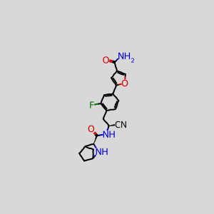 N#C[C@H](Cc1ccc(-c2cc(C(N)=O)co2)cc1F)NC(=O)[C@H]1NC2CCC1C2